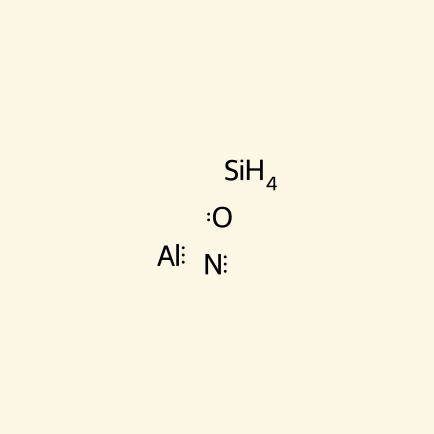 [Al].[N].[O].[SiH4]